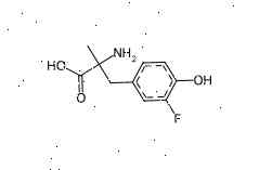 CC(N)(Cc1ccc(O)c(F)c1)C(=O)O